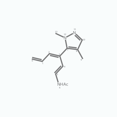 C=C/C=C(\C=C\NC(C)=O)c1c(C)cnn1C